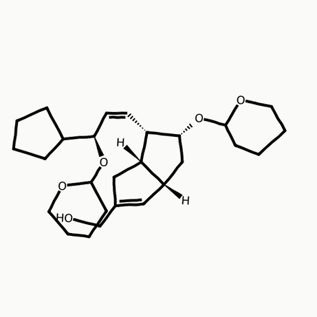 OCC1=C[C@H]2C[C@@H](OC3CCCCO3)[C@@H](/C=C\[C@@H](OC3CCCCO3)C3CCCC3)[C@H]2C1